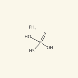 OP(O)(=S)S.P